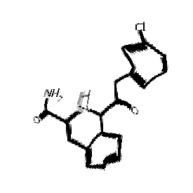 NC(=O)C1Cc2c[c]ccc2C(C(=O)Cc2cccc(Cl)c2)N1